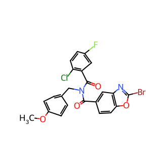 COc1ccc(CN(C(=O)c2ccc3oc(Br)nc3c2)C(=O)c2cc(F)ccc2Cl)cc1